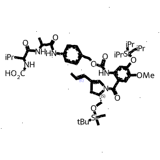 C/C=C/C1=CN(C(=O)c2cc(OC)c(O[Si](C(C)C)(C(C)C)C(C)C)cc2NC(=O)OCc2ccc(NC(=O)C(C)NC(=O)C(NC(=O)O)C(C)C)cc2)[C@H](CO[Si](C)(C)C(C)(C)C)C1